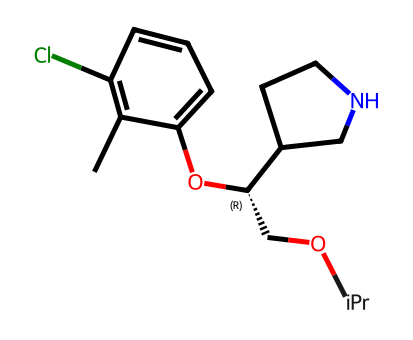 Cc1c(Cl)cccc1O[C@@H](COC(C)C)C1CCNC1